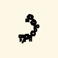 CCc1ccccc1N1CCN(C(=O)COC2CCC(Nc3ccc(N=O)c(C(F)(F)F)c3)CC2)CC1